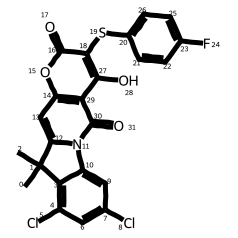 CC1(C)c2c(Cl)cc(Cl)cc2-n2c1cc1oc(=O)c(Sc3ccc(F)cc3)c(O)c1c2=O